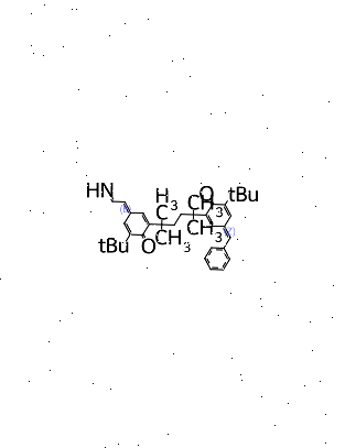 CC(C)(C)C1=C/C(=C/c2ccccc2)C=C(C(C)(C)CCC(C)(C)C2=C/C(=C/C=N)C=C(C(C)(C)C)C2=O)C1=O